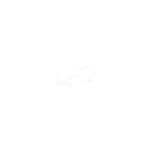 [c]1ccc(C2NCCO2)cc1